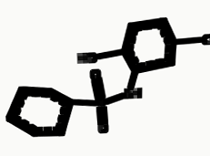 O=S(=O)(Nc1cc(Cl)ccc1O)c1ccccc1